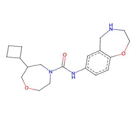 O=C(Nc1ccc2c(c1)CNCCO2)N1CCOCC(C2CCC2)C1